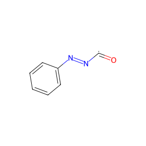 O=[C]N=Nc1ccccc1